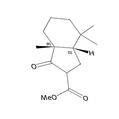 COC(=O)C1C[C@H]2C(C)(C)CCC[C@@]2(C)C1=O